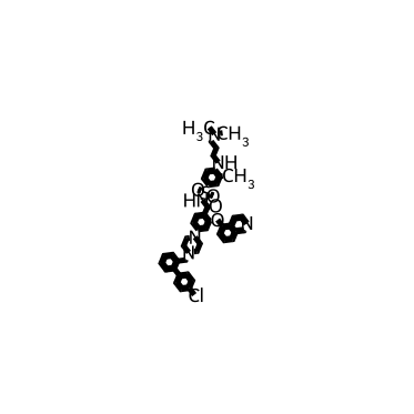 Cc1cc(S(=O)(=O)NC(=O)c2ccc(N3CCN(Cc4ccccc4-c4ccc(Cl)cc4)CC3)cc2Oc2cccc3cnccc23)ccc1NCCCN(C)C